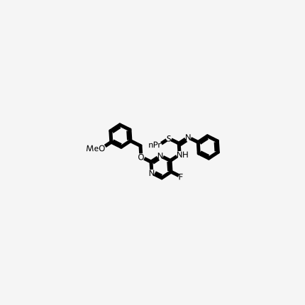 CCCS/C(=N/c1ccccc1)Nc1nc(OCc2cccc(OC)c2)ncc1F